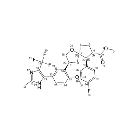 COC(=O)[C@H]1CC[C@@]2(C[C@@H](c3cc(-c4[nH]c(C)nc4C(F)(F)F)ccc3OC)CO2)[C@@H]1c1ccc(F)cc1